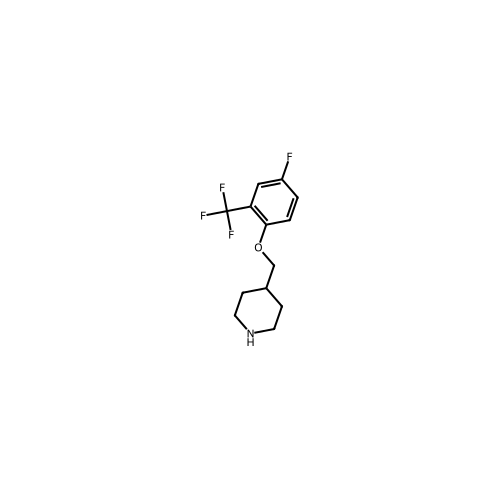 Fc1ccc(OCC2CCNCC2)c(C(F)(F)F)c1